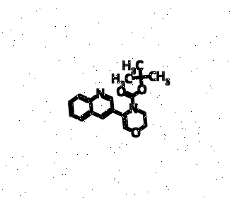 CC(C)(C)OC(=O)N1CCOC=C1c1cnc2ccccc2c1